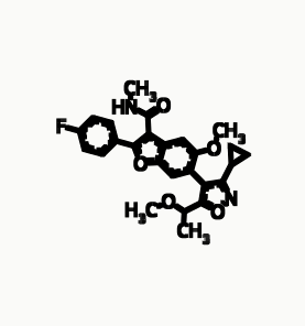 CNC(=O)c1c(-c2ccc(F)cc2)oc2cc(-c3c(C4CC4)noc3C(C)OC)c(OC)cc12